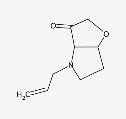 C=CCN1CCC2OCC(=O)C21